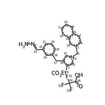 CCOC(=O)c1cn(Cc2ccc3ccccc3c2)cc1Cc1cccc(C=NN)c1.O=C(O)C(F)(F)F